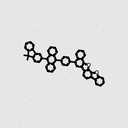 CC1(C)c2ccccc2-c2cc(-c3c4ccccc4c(-c4ccc(-c5cc6c7ccc8c9ccccc9oc8c7oc6c6ccccc56)cc4)c4ccccc34)ccc21